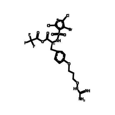 N=C(N)NOCCCOc1ccc(C[C@H](NS(=O)(=O)c2c(Cl)sc(Cl)c2Br)C(=O)OC(=O)C(F)(F)F)cc1